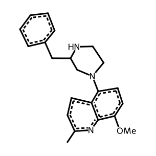 COc1ccc(N2CCNC(Cc3ccccc3)C2)c2ccc(C)nc12